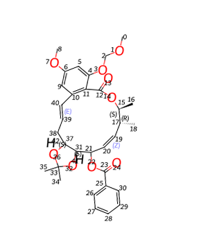 COCOc1cc(OC)cc2c1C(=O)O[C@@H](C)[C@H](C)/C=C\C(OC(=O)c1ccccc1)[C@H]1OC(C)(C)O[C@H]1C/C=C/2